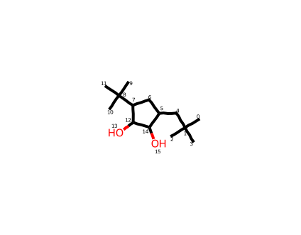 CC(C)(C)CC1CC(C(C)(C)C)C(O)C1O